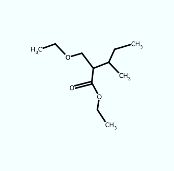 CCOCC(C(=O)OCC)C(C)CC